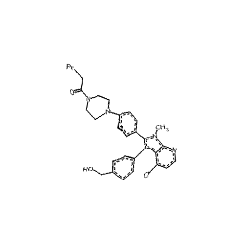 CC(C)CC(=O)N1CCN(c2ccc(-c3c(-c4ccc(CO)cc4)c4c(Cl)ccnc4n3C)cc2)CC1